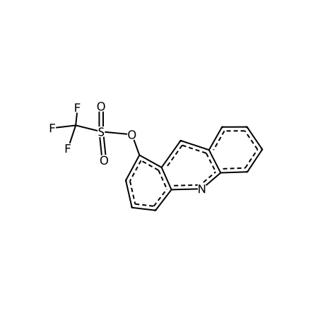 O=S(=O)(Oc1cccc2nc3ccccc3cc12)C(F)(F)F